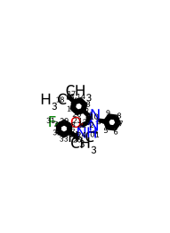 CCn1c(-c2ccccc2)nc(-c2ccc(C(C)C)cc2)c1C(=O)NC(C)c1ccc(F)cc1